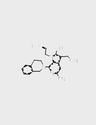 C=CCn1c(C)c(CO)c2cc(C#N)nc(N3CCc4ccccc4C3)c21